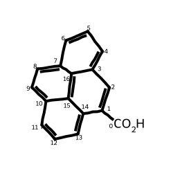 O=C(O)c1cc2cccc3ccc4[c]ccc1c4c32